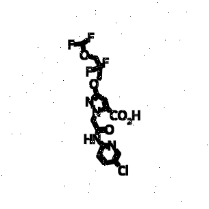 O=C(Cn1nc(OCC(F)(F)COC(F)F)cc1C(=O)O)Nc1ccc(Cl)cn1